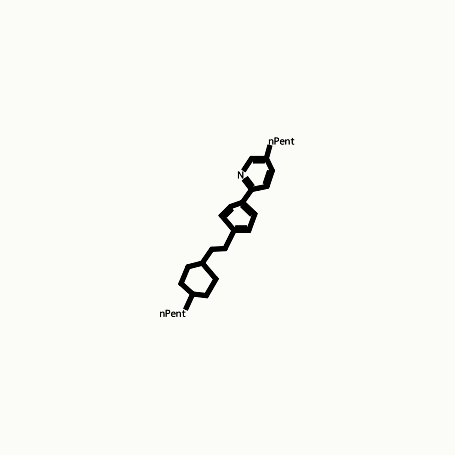 CCCCCc1ccc(-c2ccc(CCC3CCC(CCCCC)CC3)cc2)nc1